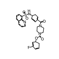 O=C(OC1C=C(F)C=CC1)N1CCN(C(=O)C2=CCC(NS(=O)(=O)c3cccc4cccnc34)C=C2)CC1